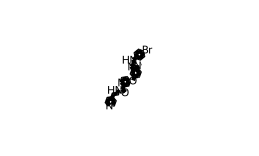 Cn1c(Nc2ccc(Br)cc2)nc2cc(Oc3ccnc(C(=O)NCCc4ccncc4)c3)ccc21